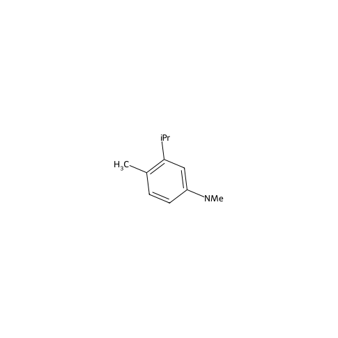 CNc1ccc(C)c(C(C)C)c1